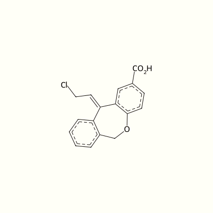 O=C(O)c1ccc2c(c1)/C(=C/CCl)c1ccccc1CO2